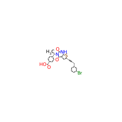 CC(c1ccc(C(=O)O)cc1)n1c(=O)[nH]c2sc(C#CCc3cccc(Br)c3)cc2c1=O